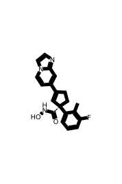 Cc1c(F)cccc1[C@@]1(C(=O)NO)C=C(c2ccn3ccnc3c2)CC1